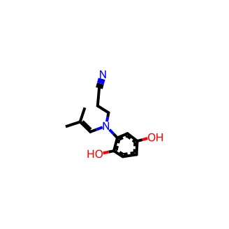 CC(C)=CN(CCC#N)c1cc(O)ccc1O